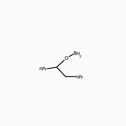 BOC(CCC)CCCC